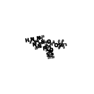 CC(C)(C)[Si](C)(C)OCC1O[C@@H](n2cnc3c(N)ncnc32)[C@H](F)[C@@H]1OP1(=S)SCCS1